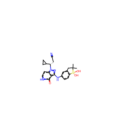 CC1(C)Cc2cc(Nc3nn([C@@H](CC#N)C4CC4)c4cc[nH]c(=O)c34)ccc2S1(O)O